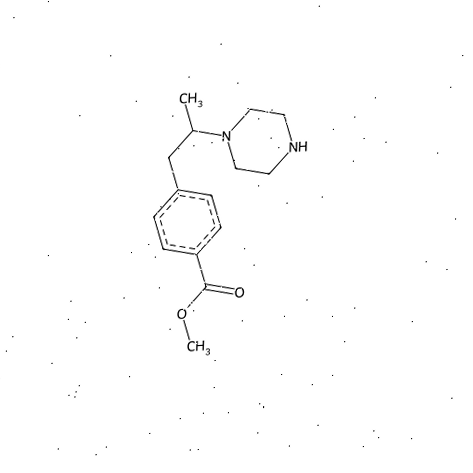 COC(=O)c1ccc(CC(C)N2CCNCC2)cc1